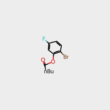 CCCCC(=O)Oc1cc(F)ccc1Br